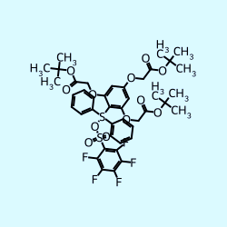 CC(C)(C)OC(=O)COc1cc(OCC(=O)OC(C)(C)C)c(S(OS(=O)(=O)c2c(F)c(F)c(F)c(F)c2F)(c2ccccc2)c2ccccc2)c(OCC(=O)OC(C)(C)C)c1